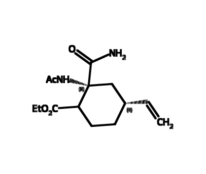 C=C[C@@H]1CCC(C(=O)OCC)[C@@](NC(C)=O)(C(N)=O)C1